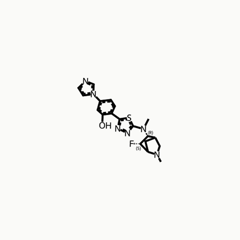 CN1CC2CC1[C@H](F)[C@@H]2N(C)c1nnc(-c2ccc(-n3ccnc3)cc2O)s1